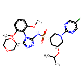 COc1cccc(OC)c1-n1c(NS(=O)(=O)[C@H]2C[C@@H](OC(C)C)CN(c3ncc(F)cn3)C2)nnc1[C@@H]1COCCO1